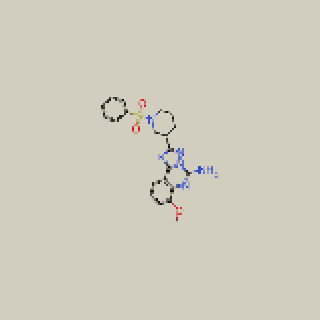 COc1cccc2c1nc(N)n1nc([C@@H]3CCCN(S(=O)(=O)c4ccccc4)C3)nc21